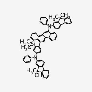 CC1(C)c2ccccc2-c2ccc(N(c3ccccc3)c3ccc4c(c3)[Si](C)(C)c3cccc5c3c-4cc3c4ccccc4c(N(c4ccccc4)c4ccc6c(c4)C(C)(C)c4ccccc4-6)cc53)cc21